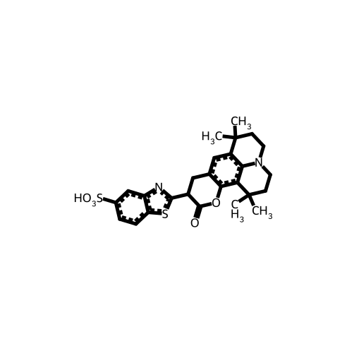 CC1(C)CCN2CCC(C)(C)c3c4c(cc1c32)CC(c1nc2cc(S(=O)(=O)O)ccc2s1)C(=O)O4